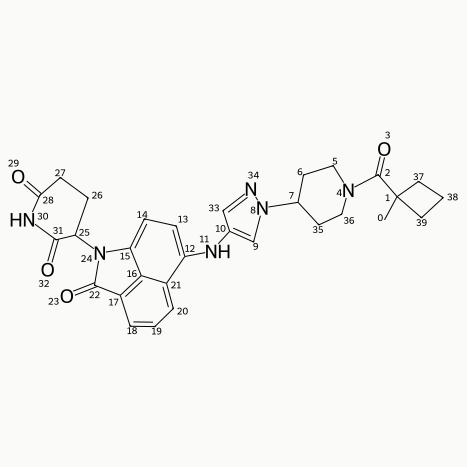 CC1(C(=O)N2CCC(n3cc(Nc4ccc5c6c(cccc46)C(=O)N5C4CCC(=O)NC4=O)cn3)CC2)CCC1